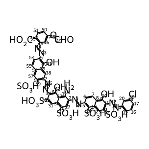 Nc1c(N=Nc2ccc3c(O)c(N=Nc4cccc(Cl)c4)c(S(=O)(=O)O)cc3c2S(=O)(=O)O)cc(S(=O)(=O)O)c2cc(S(=O)(=O)O)c(N=Nc3cc4c(O)c(N=Nc5cc(OC=O)ccc5C(=O)O)ccc4cc3S(=O)(=O)O)c(O)c12